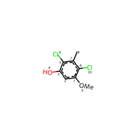 COc1cc(O)c(Cl)c(C)c1Cl